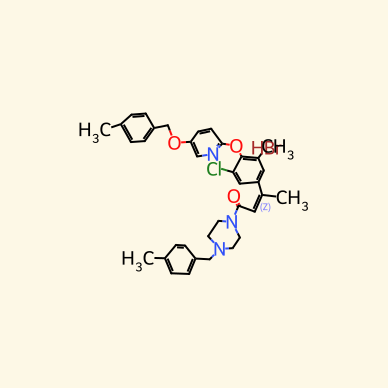 Br.C/C(=C/C(=O)N1CCN(Cc2ccc(C)cc2)CC1)c1cc(C)c(Oc2ccc(OCc3ccc(C)cc3)cn2)c(Cl)c1